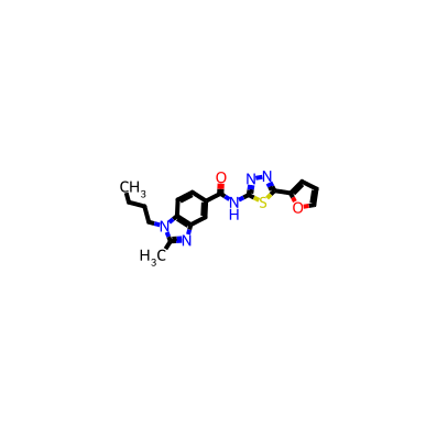 CCCCn1c(C)nc2cc(C(=O)Nc3nnc(-c4ccco4)s3)ccc21